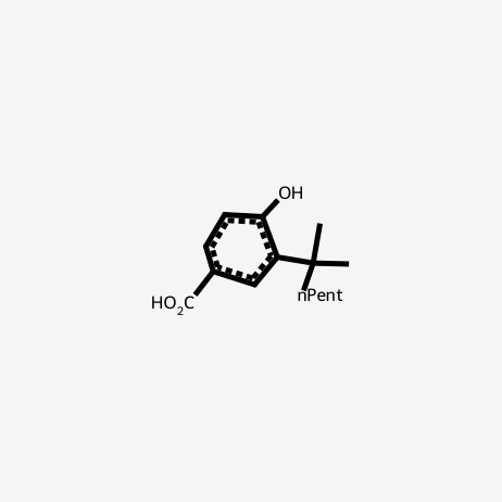 CCCCCC(C)(C)c1cc(C(=O)O)ccc1O